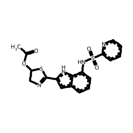 CC(=O)OC1CN=C(c2cc3cccc(NS(=O)(=O)c4ccccn4)c3[nH]2)S1